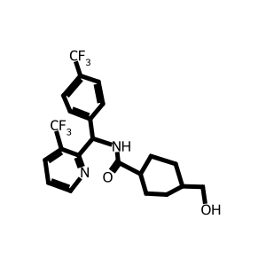 O=C(NC(c1ccc(C(F)(F)F)cc1)c1ncccc1C(F)(F)F)C1CCC(CO)CC1